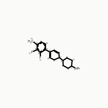 CCCC1CCC(C2C=CC(c3ccc(C)c(F)c3F)=CC2)CC1